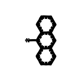 [N]c1c2ccccc2cc2ccccc12